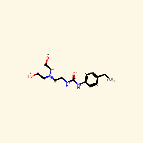 CCc1ccc(NC(=O)NCCN(CCO)CCO)cc1